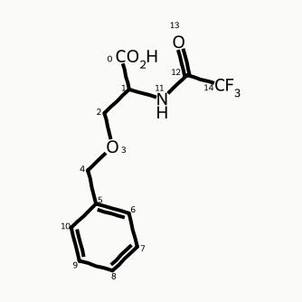 O=C(O)C(COCc1ccccc1)NC(=O)C(F)(F)F